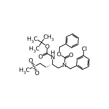 CC(C)(C)OC(=O)N[C@@H](CCS(C)(=O)=O)CN(Cc1cccc(Cl)c1)C(=O)OCc1ccccc1